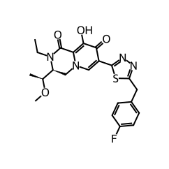 CCN1C(=O)c2c(O)c(=O)c(-c3nnc(Cc4ccc(F)cc4)s3)cn2C[C@H]1[C@H](C)OC